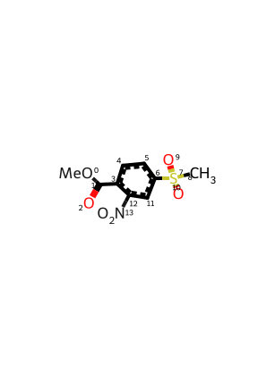 COC(=O)c1ccc(S(C)(=O)=O)cc1[N+](=O)[O-]